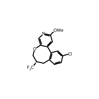 COc1cc2c(cn1)OC[C@H](C(F)(F)F)Cc1ccc(Cl)cc1-2